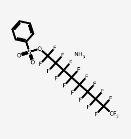 N.O=S(=O)(OC(F)(F)C(F)(F)C(F)(F)C(F)(F)C(F)(F)C(F)(F)C(F)(F)C(F)(F)C(F)(F)F)c1ccccc1